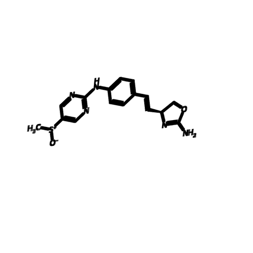 C[S+]([O-])c1cnc(Nc2ccc(C=C[C@H]3COC(N)=N3)cc2)nc1